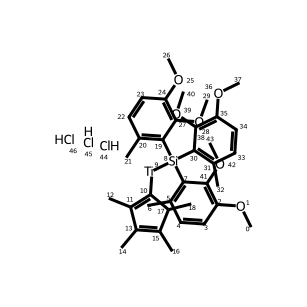 COc1ccc(C)c([Si]([Ti][C]2=C(C)C(C)=C(C)C2C)(c2c(C)ccc(OC)c2OC)c2c(C)ccc(OC)c2OC)c1OC.Cl.Cl.Cl